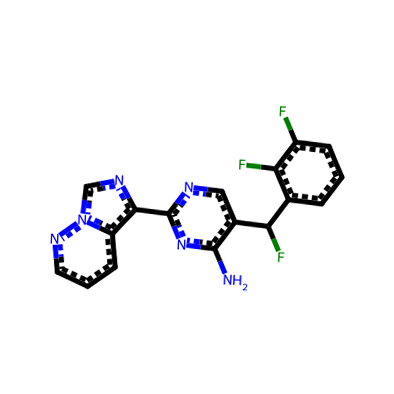 Nc1nc(-c2ncn3ncccc23)ncc1C(F)c1cccc(F)c1F